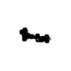 O=C(CCOC[C@@H](CO[N+](=O)[O-])O[N+](=O)[O-])Oc1ccc([N+](=O)[O-])cc1